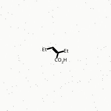 CCC=C(CC)C(=O)O